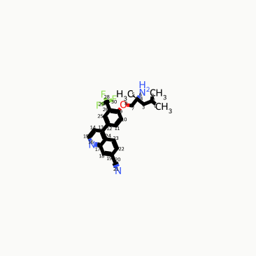 CC(C)C[C@](C)(N)COc1ccc(-c2ccnc3cc(C#N)ccc23)cc1C(F)(F)F